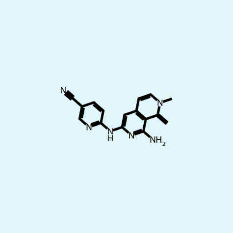 C=C1c2c(cc(Nc3ccc(C#N)cn3)nc2N)C=CN1C